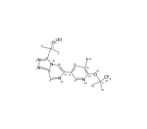 CCOC(C)(C)c1nnc2cnc(-c3cnc(OC(C)(C)C(F)(F)F)c(F)c3)cn12